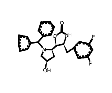 O=C1N[C@@H](Cc2cc(F)cc(F)c2)[C@@H]([C@H]2C[C@@H](O)CN2C(c2ccccc2)c2ccccc2)O1